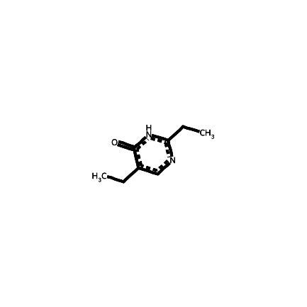 CCc1ncc(CC)c(=O)[nH]1